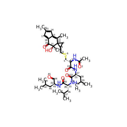 CC(=O)N[C@@H](CSCC1CC12C(C)=C1C=C(C)C=C1C(=O)C2(C)O)C(=O)N[C@@H](CC(C)C)C(=O)N[C@H](CC(C)C)C(=O)N[C@H](C=O)CC(C)C